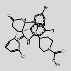 CC(C)OC(=O)N1CCC(Oc2ccc(Br)cc2[C@@H]2NC(=O)C[C@@H](C3C=CC=C(Cl)C3)[C@]23C(=O)Nc2cc(Cl)ccc23)CC1